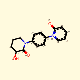 O=C1C(O)CCCN1c1ccc(-n2ccccc2=O)cc1